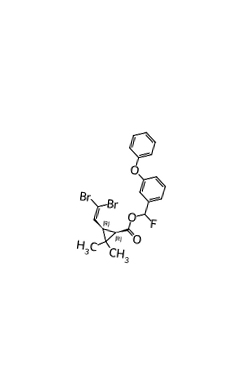 CC1(C)[C@H](C(=O)OC(F)c2cccc(Oc3ccccc3)c2)[C@@H]1C=C(Br)Br